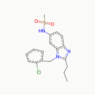 CCCc1nc2ccc(NS(C)(=O)=O)cc2n1Cc1ccccc1Cl